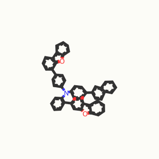 c1ccc(N(c2ccc(-c3ccc4ccccc4c3)cc2)c2ccc(-c3cccc4c3oc3ccccc34)cc2)c(-c2ccc3c(c2)oc2ccccc23)c1